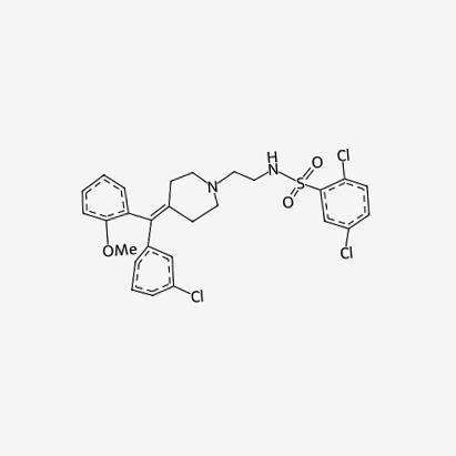 COc1ccccc1C(=C1CCN(CCNS(=O)(=O)c2cc(Cl)ccc2Cl)CC1)c1cccc(Cl)c1